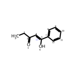 CCC(=O)/C=C(\O)c1ccccc1